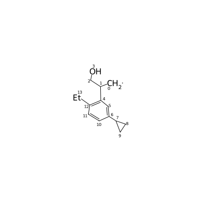 [CH2]C(CO)c1cc(C2CC2)ccc1CC